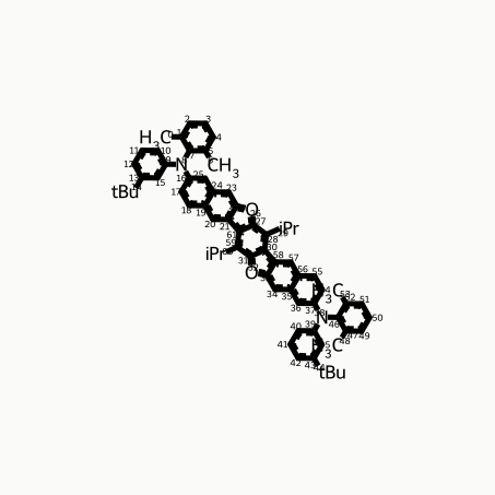 Cc1cccc(C)c1N(c1cccc(C(C)(C)C)c1)c1ccc2cc3c(cc2c1)oc1c(C(C)C)c2c(oc4cc5cc(N(c6cccc(C(C)(C)C)c6)c6c(C)cccc6C)ccc5cc42)c(C(C)C)c13